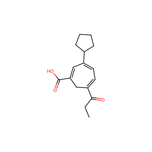 CCC(=O)C1=CC=C(C2CCCC2)C=C(C(=O)O)C1